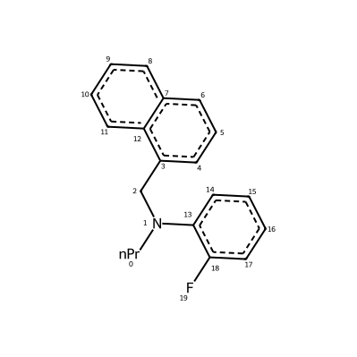 CCCN(Cc1cccc2ccccc12)c1ccccc1F